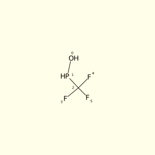 OPC(F)(F)F